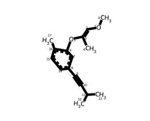 CO/C=C(\C)Oc1cc(C#CC(C)C)ccc1C